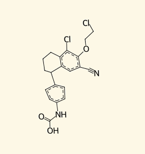 N#Cc1cc2c(c(Cl)c1OCCCl)CCCC2c1ccc(NC(=O)O)cc1